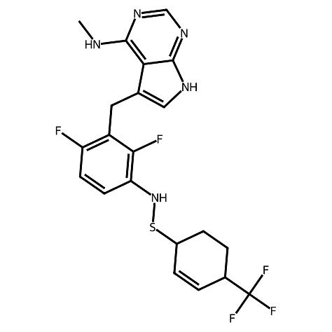 CNc1ncnc2[nH]cc(Cc3c(F)ccc(NSC4C=CC(C(F)(F)F)CC4)c3F)c12